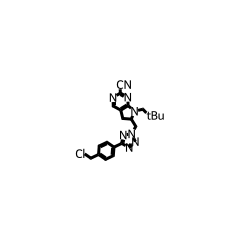 CC(C)(C)CN1c2nc(C#N)ncc2CC1Cn1nnc(-c2ccc(CCl)cc2)n1